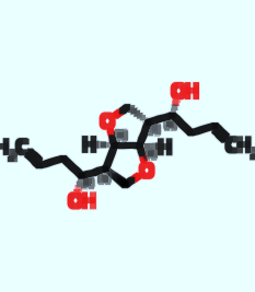 C=CC[C@@H](O)[C@@H]1CO[C@@H]2[C@@H]([C@H](O)CC=C)CO[C@H]12